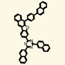 c1ccc2cc(-c3ccc(-c4c5ccccc5cc5c4oc4cc(-c6nc(-c7ccc8ccccc8c7)nc(-c7ccc8ccccc8c7)n6)ccc45)cc3)ccc2c1